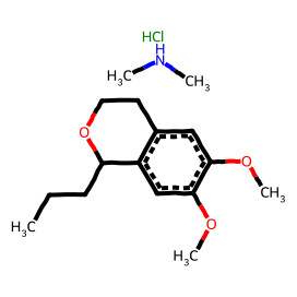 CCCC1OCCc2cc(OC)c(OC)cc21.CNC.Cl